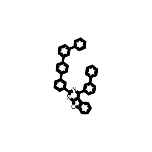 c1ccc(-c2cccc(-c3ccc(-c4cccc(-c5nc(-c6cccc(-c7ccccc7)c6)c6c(n5)oc5ccccc56)c4)cc3)c2)cc1